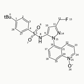 CC(C)(C)c1ccc(S(=O)(=O)Nc2cc(CF)nn2-c2cccc3c2ccc[n+]3[O-])cc1